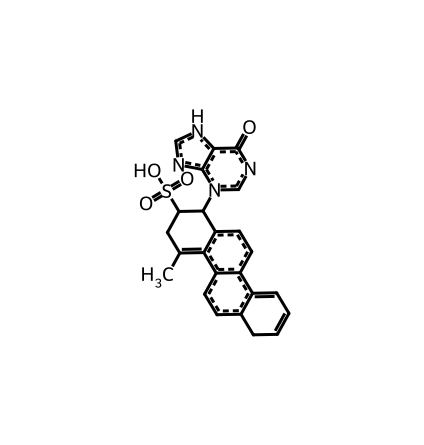 CC1=c2c(ccc3c4c(ccc23)CC=CC=4)C(n2cnc(=O)c3[nH]cnc32)C(S(=O)(=O)O)C1